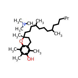 CN(C)C.Cc1c(C)c2c(c(C)c1O)CC[C@@](C)(CCCC(C)CCCC(C)CCCC(C)C)O2